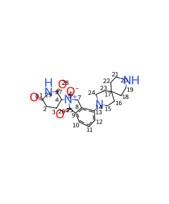 O=C1CCC([N+]2([O-])Cc3c(cccc3N3CCC4(CCNCC4)CC3)C2=O)C(=O)N1